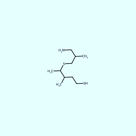 CC(CN)CSC(C)C(C)CCS